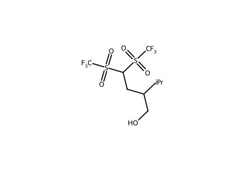 CC(C)C(CO)CC(S(=O)(=O)C(F)(F)F)S(=O)(=O)C(F)(F)F